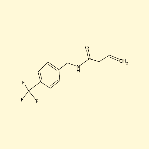 C=CCC(=O)NCc1ccc(C(F)(F)F)cc1